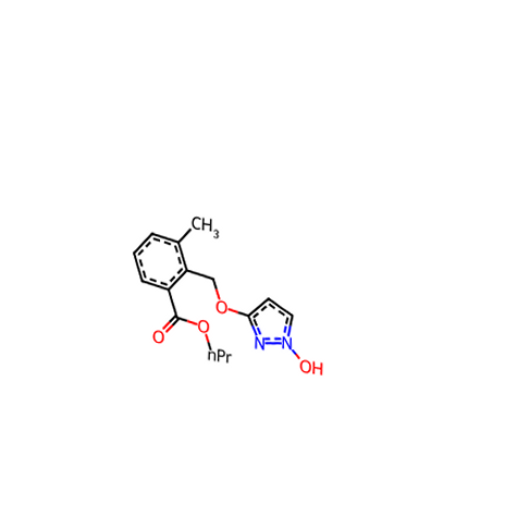 CCCOC(=O)c1cccc(C)c1COc1ccn(O)n1